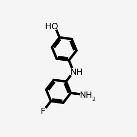 Nc1cc(F)ccc1Nc1ccc(O)cc1